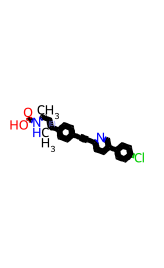 C/C(=C\[C@@H](C)NC(=O)O)c1ccc(C#Cc2ccc(-c3ccc(Cl)cc3)cn2)cc1